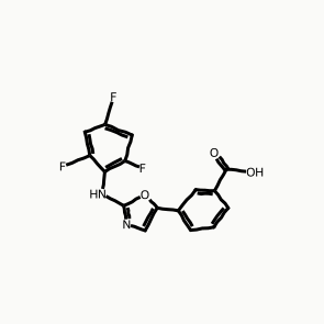 O=C(O)c1cccc(-c2cnc(Nc3c(F)cc(F)cc3F)o2)c1